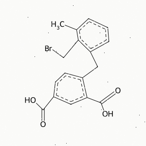 Cc1cccc(Cc2ccc(C(=O)O)cc2C(=O)O)c1CBr